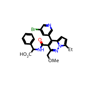 CCc1ccc2c(-c3cncc(Br)c3)c(C(=O)NC(C(=O)O)c3ccccc3)c(COC)nn12